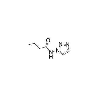 CCCC(=O)Nn1ccnn1